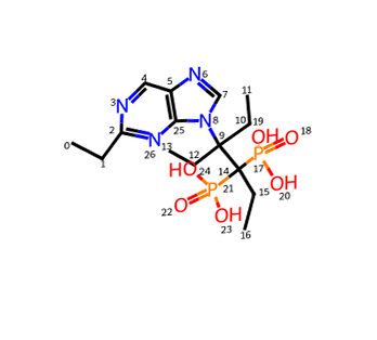 CCc1ncc2ncn(C(CC)(CC)C(CC)(P(=O)(O)O)P(=O)(O)O)c2n1